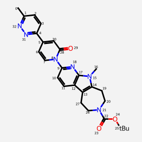 Cc1ccc(-c2ccn(-c3ccc4c5c(n(C)c4n3)CCN(C(=O)OC(C)(C)C)CC5)c(=O)c2)nn1